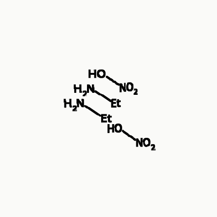 CCN.CCN.O=[N+]([O-])O.O=[N+]([O-])O